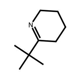 CC(C)(C)C1=NCCCC1